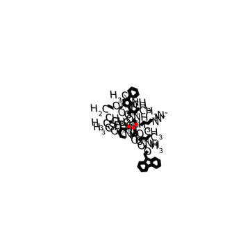 C=CCOC(=O)[C@@H]1C[C@@]2(C)c3ccccc3N[C@H]2C1C(=O)[C@H](NC(=O)[C@H](CCCCN=[N+]=[N-])NC(=O)[C@H]1C[C@@H](O[Si](C)(C)C(C)(C)C)CCN1C(=O)[C@@H](OC(=O)[C@H](NC(=O)OCC1c2ccccc2-c2ccccc21)C(C)C)C(C)C)C(C)C